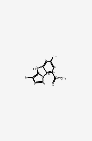 Cc1cnn2c1[nH]c1cc(F)cc(C(N)=O)c12